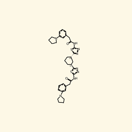 O=C(Cc1cccc(N2CCCC2)c1)Nc1nnc([C@H]2CCC[C@H](c3nnc(NC(=O)Cc4cccc(N5CCCC5)c4)s3)C2)s1